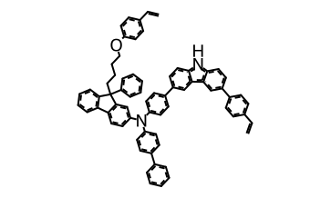 C=Cc1ccc(OCCCCC2(c3ccccc3)c3ccccc3-c3ccc(N(c4ccc(-c5ccccc5)cc4)c4ccc(-c5ccc6[nH]c7ccc(-c8ccc(C=C)cc8)cc7c6c5)cc4)cc32)cc1